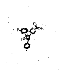 O=C(O)N1CC[C@@H](c2cc(-c3ccc(F)cc3)[nH]n2)[C@H](c2ccc(F)cc2)C1